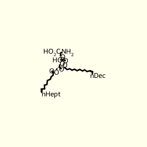 CCCCCCC/C=C\CCCCCCCC(=O)OC[C@H](COP(=O)(O)OC[C@H](N)C(=O)O)OC(=O)CCCCCCCCC/C=C\CCCCCCCCCC